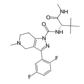 CNC(=O)[C@@H](NC(=O)n1nc(-c2cc(F)ccc2F)c2c1CCN(C)C2)C(C)(C)C